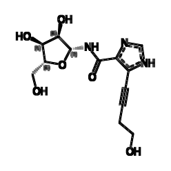 O=C(N[C@@H]1O[C@H](CO)[C@@H](O)[C@H]1O)c1nc[nH]c1C#CCCO